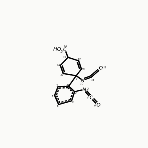 O=C=Nc1ccccc1C1(N=C=O)C=CC(C(=O)O)C=C1